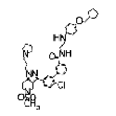 CS(=O)(=O)N1CCc2c(c(-c3ccc(Cl)c(-c4cccc(C(=O)NCCNc5ccc(OCC6CCCC6)cc5)c4)c3)nn2CCCN2CCCC2)C1